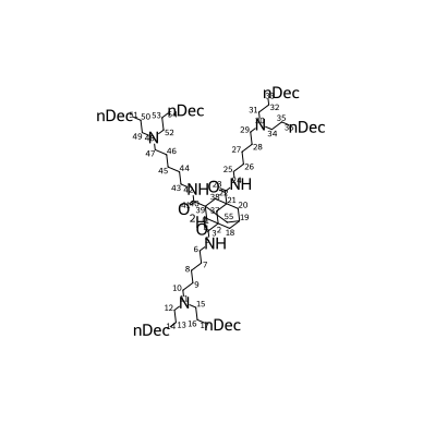 [2H]C1C2(C(=O)NCCCCCN(CCCCCCCCCCCC)CCCCCCCCCCCC)CC3CC(C(=O)NCCCCCN(CCCCCCCCCCCC)CCCCCCCCCCCC)(C2)CC1(C(=O)NCCCCCN(CCCCCCCCCCCC)CCCCCCCCCCCC)C3